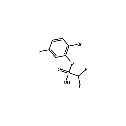 O=P(O)(Oc1cc(I)ccc1Br)C(F)F